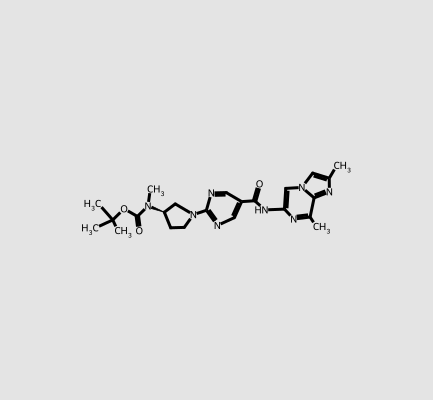 Cc1cn2cc(NC(=O)c3cnc(N4CC[C@@H](N(C)C(=O)OC(C)(C)C)C4)nc3)nc(C)c2n1